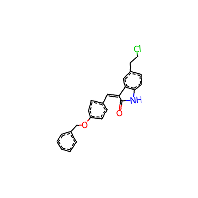 O=C1Nc2ccc(CCCl)cc2C1=Cc1ccc(OCc2ccccc2)cc1